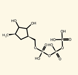 C[C@@H]1C[C@H](COP(=O)(O)OP(=O)(O)OP(=O)(O)O)C(O)C1O